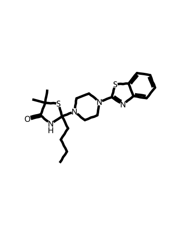 CCCCC1(N2CCN(c3nc4ccccc4s3)CC2)NC(=O)C(C)(C)S1